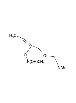 C/C=C(/COCNC)ON(C)O